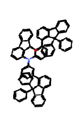 CC12c3ccccc3-c3cccc(c31)N(c1cccc(-c3cccc4c3C(c3ccccc3)(c3ccccc3)c3ccccc3-4)c1)c1cccc(-c3cccc4c3C(c3ccccc3)(c3ccccc3)c3ccccc3-4)c12